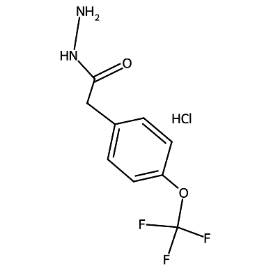 Cl.NNC(=O)Cc1ccc(OC(F)(F)F)cc1